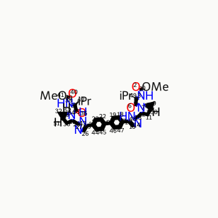 COC(=O)N[C@H](C(=O)N1C2=C[C@H]2CC1c1ncc(-c2ccc(-c3ccc(-c4cnc(C5C[C@@H]6C[C@@H]6N5C(=O)[C@@H](NC(=O)OC)C(C)C)[nH]4)cc3)cc2)[nH]1)C(C)C